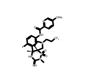 COc1ccc(C(=O)Nc2ccc(F)c([C@@]3(C)NC(=N)N(C)S(=O)(=O)[C@]34CCN(CCC(F)(F)F)C4)c2)nc1